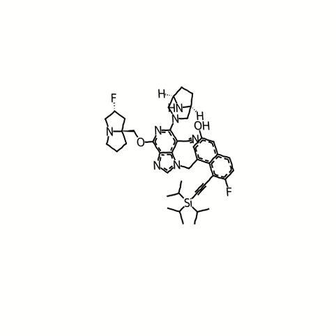 CC(C)[Si](C#Cc1c(F)ccc2cc(O)cc(Cn3cnc4c(OC[C@@]56CCCN5C[C@H](F)C6)nc(N5C[C@H]6CC[C@@H](C5)N6)c(C#N)c43)c12)(C(C)C)C(C)C